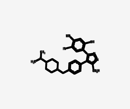 CC(C)c1cc(-n2nnc(C(=O)O)c2-c2ccc(CN3CCC(N(C)C)CC3)cc2)c(O)cc1O